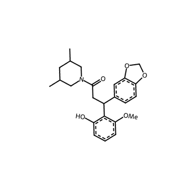 COc1cccc(O)c1C(CC(=O)N1CC(C)CC(C)C1)c1ccc2c(c1)OCO2